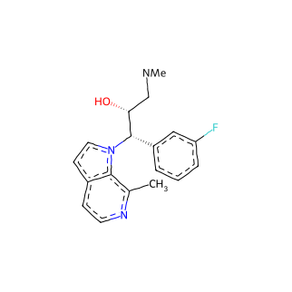 CNC[C@@H](O)[C@H](c1cccc(F)c1)n1ccc2ccnc(C)c21